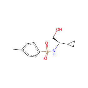 Cc1ccc(S(=O)(=O)N[C@@H](CO)C2CC2)cc1